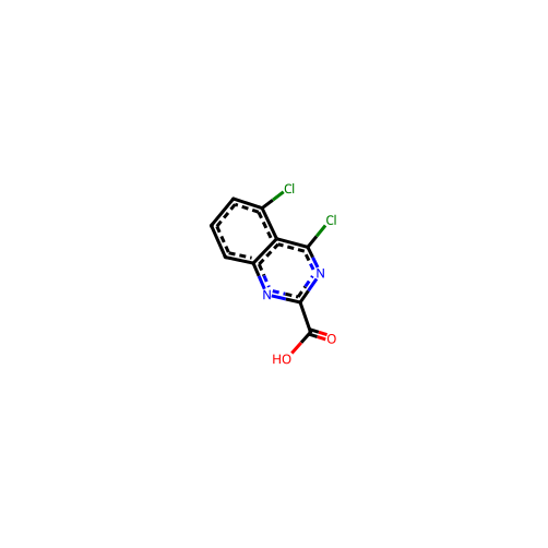 O=C(O)c1nc(Cl)c2c(Cl)cccc2n1